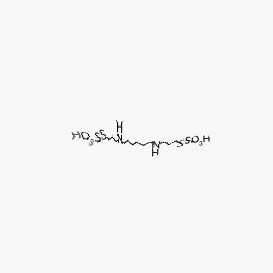 O=S(=O)(O)SCCCNCCCCCCNCCCSS(=O)(=O)O